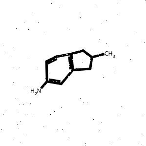 CC1Cc2ccc(N)cc2C1